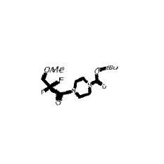 COCC(F)(F)C(=O)N1CCN(C(=O)OC(C)(C)C)CC1